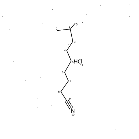 CC(C)CCCCCCC#N.Cl